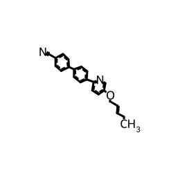 CCC=CCOc1ccc(-c2ccc(-c3ccc(C#N)cc3)cc2)nc1